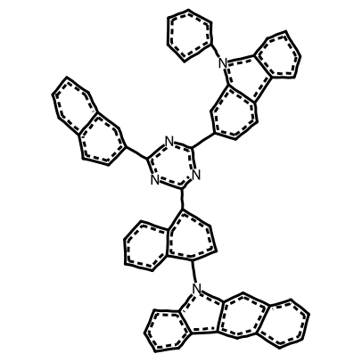 c1ccc(-n2c3ccccc3c3ccc(-c4nc(-c5ccc6ccccc6c5)nc(-c5ccc(-n6c7ccccc7c7cc8ccccc8cc76)c6ccccc56)n4)cc32)cc1